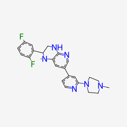 CN1CCN(c2cc(-c3cnc4c(c3)[N]C(c3cc(F)ccc3F)CN4)ccn2)CC1